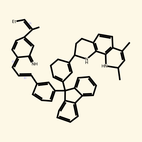 CC/C=C(/C)C1=CC(=N)/C(=C\C=C\c2cccc(C3(C4=CCCC(C5CCc6ccc7c(c6N5)NC(C)C=C7C)=C4)c4ccccc4-c4ccccc43)c2)C=C1